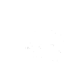 Cc1nc2ccc(Cl)cn2c1-c1csc(Nc2ccc(Cl)cc2)n1